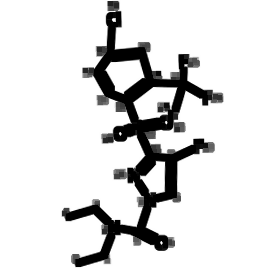 CCN(CC)C(=O)n1cc(F)c(S(=O)(=O)c2ccc(Cl)cc2C(F)(F)F)n1